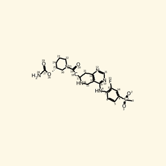 CS(=O)(=O)c1ccc(Nc2ncnc3c2CNC(CC(=O)N2CCC[C@@H](OC(N)=O)C2)C3)c(F)c1